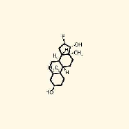 C[C@]12CC[C@H]3[C@@H](CCC4C[C@H](O)CC[C@@]43C)[C@@H]1C[C@@H](F)[C@@H]2O